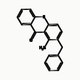 Nc1c(Cc2ccccc2)ccc2sc3ccccc3c(=O)c12